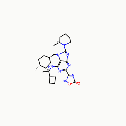 C[C@@H](Nc1nc(-c2nc(=O)o[nH]2)nc2nc(N3CCCC[C@@H]3C)n(C[C@H]3CC[C@H](C)CC3)c12)C1CCC1